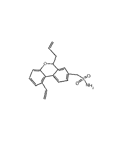 C=CCC1Oc2cccc(C=C)c2-c2ccc(CS(N)(=O)=O)cc21